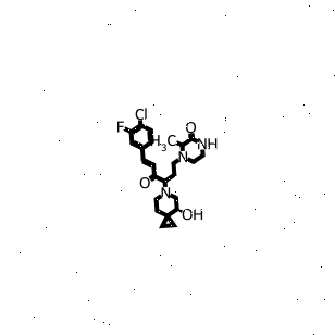 CC1C(=O)NCCN1CCC(C(=O)/C=C/c1ccc(Cl)c(F)c1)N1CCC2(CC2)[C@H](O)C1